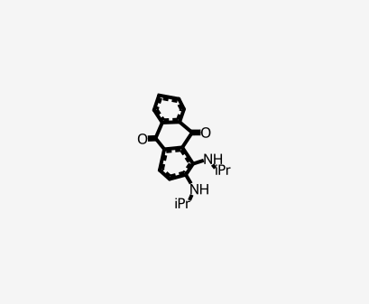 CC(C)Nc1ccc2c(c1NC(C)C)C(=O)c1ccccc1C2=O